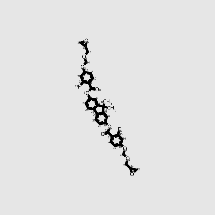 CC1(C)c2cc(OC(=O)c3ccc(OCOCC4CO4)cc3F)ccc2-c2ccc(OC(=O)c3ccc(OCOCC4CO4)cc3F)cc21